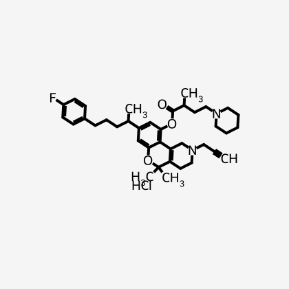 C#CCN1CCC2=C(C1)c1c(OC(=O)C(C)CCN3CCCCC3)cc(C(C)CCCc3ccc(F)cc3)cc1OC2(C)C.Cl